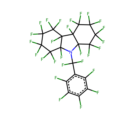 Fc1c(F)c(F)c(C(F)(F)N2C3(F)C(F)(F)C(F)(F)C(F)(F)C(F)(F)C3(F)C3(F)C(F)(F)C(F)(F)C(F)(F)C(F)(F)C23F)c(F)c1F